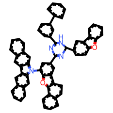 c1ccc(-c2cccc(C3=NC(c4cc(-n5c6cc7ccccc7cc6c6cc7ccccc7cc65)c5oc6c7ccccc7ccc6c5c4)=NC(c4ccc5oc6ccccc6c5c4)N3)c2)cc1